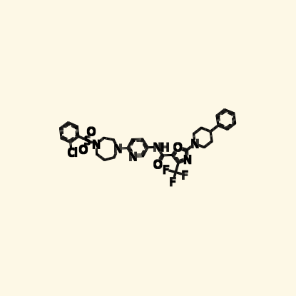 O=C(Nc1ccc(N2CCCN(S(=O)(=O)c3ccccc3Cl)CC2)nc1)c1oc(N2CCC(c3ccccc3)CC2)nc1C(F)(F)F